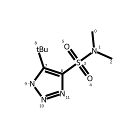 CN(C)S(=O)(=O)C1=C(C(C)(C)C)[N]N=N1